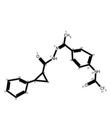 C/C(=N/NC(=O)C1CC1c1ccccc1)c1ccc(NC(=O)C(F)(F)F)cc1